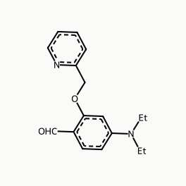 CCN(CC)c1ccc(C=O)c(OCc2ccccn2)c1